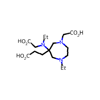 CCN1CCN(CC(=O)O)CC(CCC(=O)O)(N(CC)CC(=O)O)C1